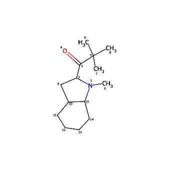 CN1C(C(=O)C(C)(C)C)CC2CCCCC21